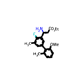 CCOC(=O)C[C@H](N)c1cc(-c2c(C)cccc2OC)cc(C)c1F